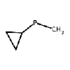 C[P]C1CC1